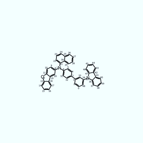 c1cc(-c2ccc(N(c3ccc4oc5ccccc5c4c3)c3cccc4ccccc34)cc2)cc(-n2c3ccccc3c3ccccc32)c1